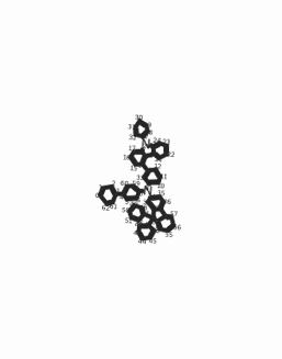 c1ccc(-c2ccc(N(c3cccc(-c4cccc5c4c4ccccc4n5-c4ccccc4)c3)c3ccc4c(c3)C(c3ccccc3)(c3ccccc3)c3ccccc3-4)cc2)cc1